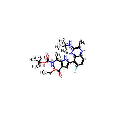 CCOC(=O)c1cc(-c2c(F)ccc3nc(C)c(NC(C)(C)C)nc23)[nH]c1C(C)NC(=O)OC(C)(C)C